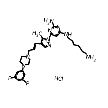 Cc1c(/C=C/CN2CCN(c3cc(F)cc(F)c3)CC2)cnn1-c1cc(NCCCCCCN)nc(N)n1.Cl